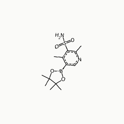 Cc1ncc(B2OC(C)(C)C(C)(C)O2)c(C)c1S(N)(=O)=O